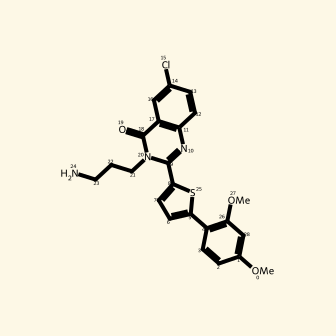 COc1ccc(-c2ccc(-c3nc4ccc(Cl)cc4c(=O)n3CCCN)s2)c(OC)c1